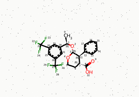 C[C@@H](O[C@H]1OCC[C@@H](C(=O)O)[C@@H]1c1ccccc1)c1cc(C(F)(F)F)cc(C(F)(F)F)c1